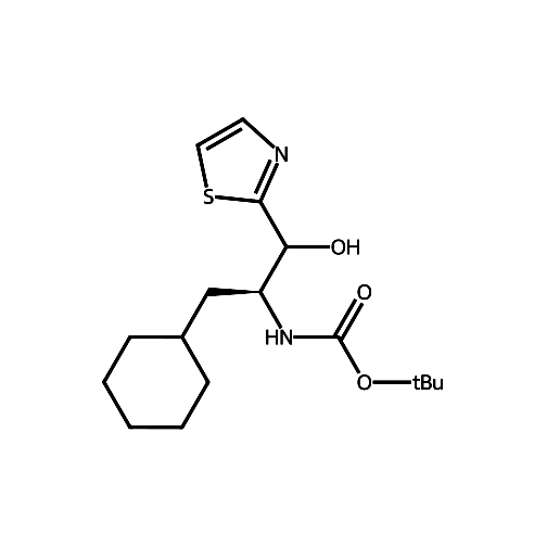 CC(C)(C)OC(=O)N[C@@H](CC1CCCCC1)C(O)c1nccs1